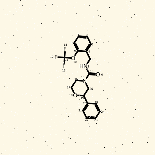 O=C(NCc1ccccc1OC(F)(F)F)N1CCOC(c2ccccc2)C1